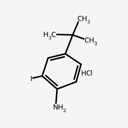 CC(C)(C)c1ccc(N)c(I)c1.Cl